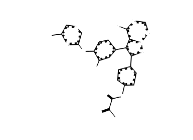 C=C(F)C(=O)Nc1ccc(-c2nn3ncnc(N)c3c2-c2ccc(Oc3cncc(C)n3)c(F)c2)cc1